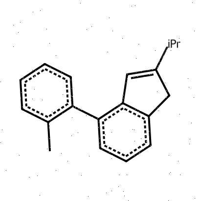 Cc1ccccc1-c1cccc2c1C=C(C(C)C)C2